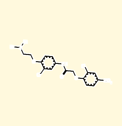 CCN(CC)CCOc1ccc(NC(=O)COc2ccc([N+](=O)[O-])cc2Cl)cc1Cl